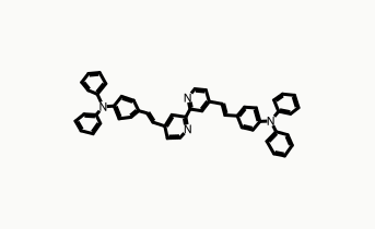 C(=Cc1ccnc(-c2cc(C=Cc3ccc(N(c4ccccc4)c4ccccc4)cc3)ccn2)c1)c1ccc(N(c2ccccc2)c2ccccc2)cc1